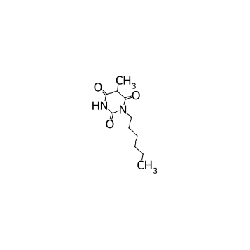 CCCCCCN1C(=O)NC(=O)C(C)C1=O